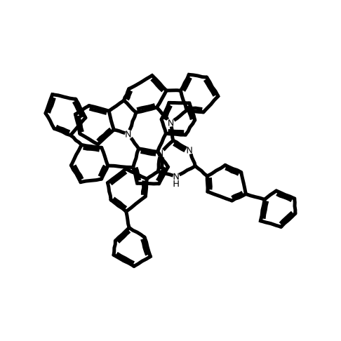 c1ccc(-c2ccc(C3N=C(n4c5ccccc5c5ccc6c7ccccc7n(-c7c(-c8ccccc8)cccc7-c7cccc(-c8ccccc8)c7)c6c54)N=C(c4cccc(-c5ccccc5)c4)N3)cc2)cc1